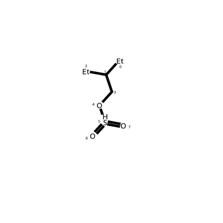 CCC(CC)CO[SH](=O)=O